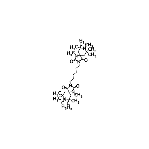 CN1C(C)(C)CC2(CC1(C)C)C(=O)N(CCCCCCN1C(=O)N(C)C3(CC(C)(C)N(C)C(C)(C)C3)C1=O)C(=O)N2C